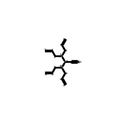 C=CCN(CC=C)B(C#N)N(CC=C)CC=C